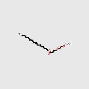 CCCCCCCCOCCOCCCC(=O)OCCCCCCCCCCCCCCCC(C)C